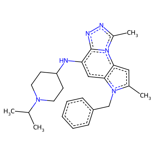 Cc1cc2c(cc(NC3CCN(C(C)C)CC3)c3nnc(C)n32)n1Cc1ccccc1